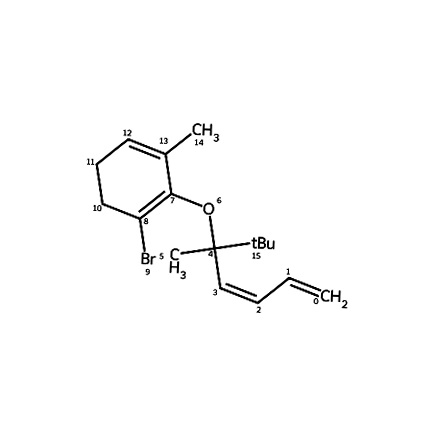 C=C/C=C\C(C)(OC1=C(Br)CCC=C1C)C(C)(C)C